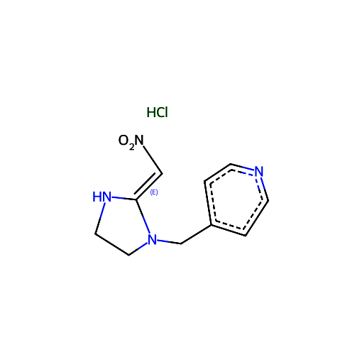 Cl.O=[N+]([O-])/C=C1\NCCN1Cc1ccncc1